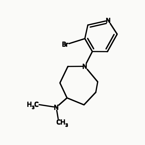 CN(C)C1CCCN(c2ccncc2Br)CC1